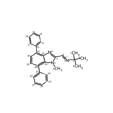 Cn1c(/C=N/C(C)(C)C)nc2c(-c3ccccc3)ccc(-c3ccccc3)c21